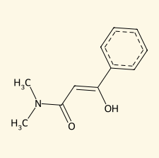 CN(C)C(=O)C=C(O)c1ccccc1